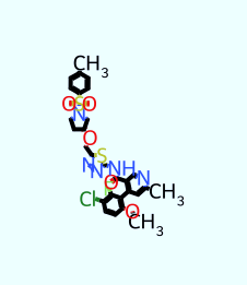 COc1ccc(Cl)c(F)c1-c1cc(C)ncc1C(=O)Nc1nnc(CO[C@H]2CCN(S(=O)(=O)c3ccc(C)cc3)C2)s1